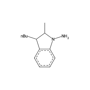 CCCCC1c2ccccc2N(N)C1C